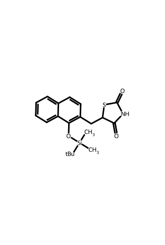 CC(C)(C)[Si](C)(C)Oc1c(CC2SC(=O)NC2=O)ccc2ccccc12